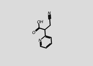 N#CCC(C(=O)O)c1ccccn1